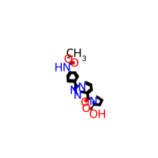 COC(=O)Nc1ccc(-c2nnc3c(C(=O)N4CCC[C@H]4C(=O)O)cccn23)cc1